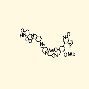 COc1cc(-c2cn(C)c(=O)c3ccsc23)cc(OC)c1CN1CC(CN2CCC3(CC2)CN(c2ccc4c(c2)C(=O)N(C2CCC(=O)NC2=O)C4)C3)C1